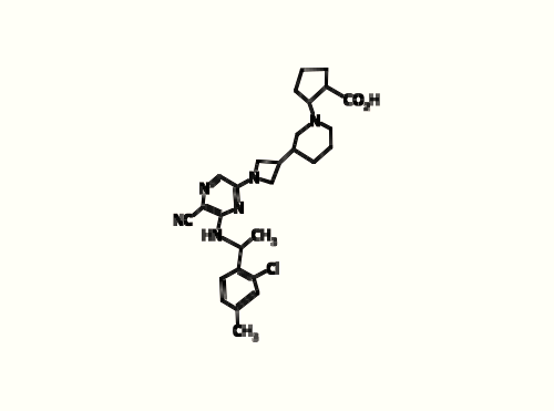 Cc1ccc(C(C)Nc2nc(N3CC(C4CCCN(C5CCCC5C(=O)O)C4)C3)cnc2C#N)c(Cl)c1